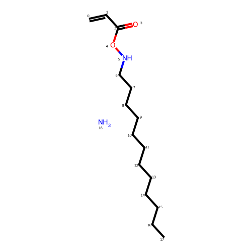 C=CC(=O)ONCCCCCCCCCCCC.N